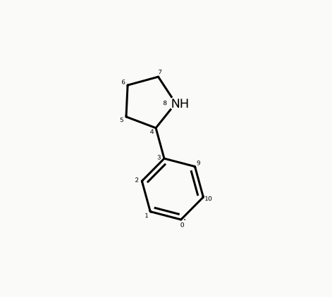 [c]1ccc(C2CCCN2)cc1